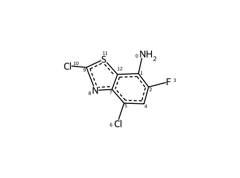 Nc1c(F)cc(Cl)c2nc(Cl)sc12